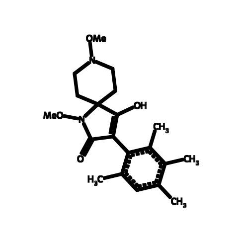 CON1CCC2(CC1)C(O)=C(c1c(C)cc(C)c(C)c1C)C(=O)N2OC